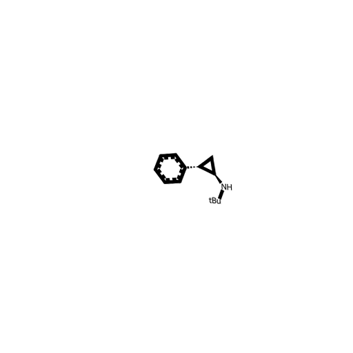 CC(C)(C)N[C@@H]1C[C@H]1c1ccccc1